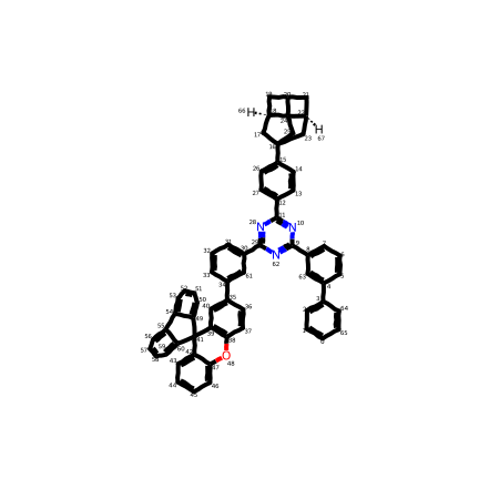 c1ccc(-c2cccc(-c3nc(-c4ccc(C56C[C@H]7CC8C[C@@H](C5)C87C6)cc4)nc(-c4cccc(-c5ccc6c(c5)C5(c7ccccc7O6)c6ccccc6-c6ccccc65)c4)n3)c2)cc1